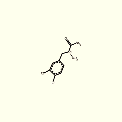 NC(=O)[C@H](N)Cc1ccc(Cl)c(Cl)c1